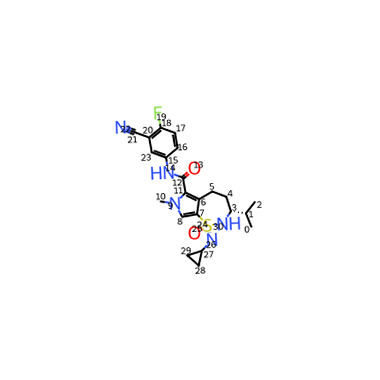 CC(C)[C@H]1CCc2c(cn(C)c2C(=O)Nc2ccc(F)c(C#N)c2)S(=O)(=NC2CC2)N1